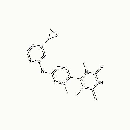 Cc1cc(Oc2cc(C3CC3)ccn2)ccc1-c1c(C)c(=O)[nH]c(=O)n1C